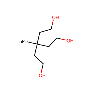 CCCC(CCO)(CCO)CCO